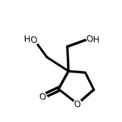 O=C1OCCC1(CO)CO